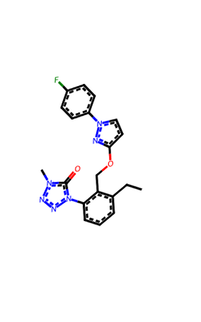 CCc1cccc(-n2nnn(C)c2=O)c1COc1ccn(-c2ccc(F)cc2)n1